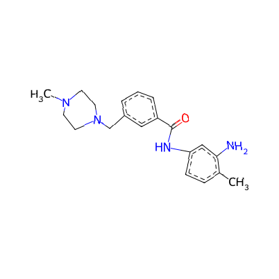 Cc1ccc(NC(=O)c2cccc(CN3CCN(C)CC3)c2)cc1N